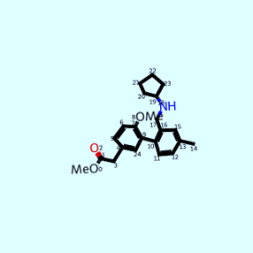 COC(=O)Cc1ccc(OC)c(-c2ccc(C)cc2CNC2CCCC2)c1